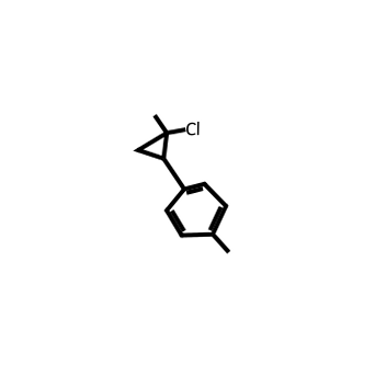 Cc1ccc(C2CC2(C)Cl)cc1